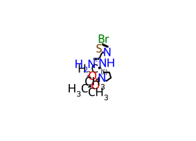 C=C(N/C(=C\N)c1ncc(Br)s1)[C@@H]1CCCN1C(=O)OC(C)(C)C